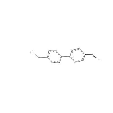 CCC(C)Cc1ccc(-c2ccc(C=N)cc2)cc1